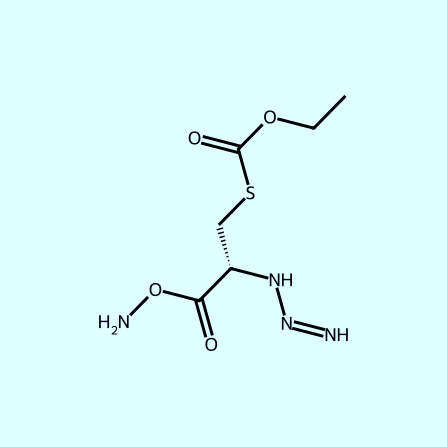 CCOC(=O)SC[C@H](NN=N)C(=O)ON